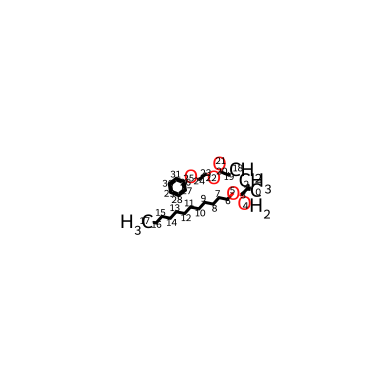 C=C(C)C(=O)OCCCCCCCCCCCC.C=CC(=O)OCCOc1ccccc1